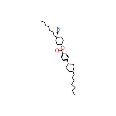 CCCCCCCC1CCC(c2ccc(C(=O)OC3CCC(C#N)(CCCCCCC)CC3)cc2)CC1